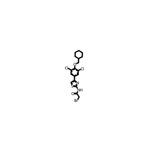 O=C(CBr)Nc1nc(-c2cc(Cl)c(OCC3CCCCC3)c(Cl)c2)cs1